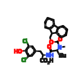 CCC(C)C(C(=O)NC(Cc1cc(Cl)c(O)c(Cl)c1)C(=O)O)N(C)C(=O)OCC1c2ccccc2-c2ccccc21